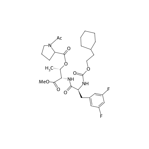 COC(=O)[C@@H](NC(=O)[C@H](Cc1cc(F)cc(F)c1)NC(=O)OCCC1CCCCC1)[C@H](C)OC(=O)C1CCCN1C(C)=O